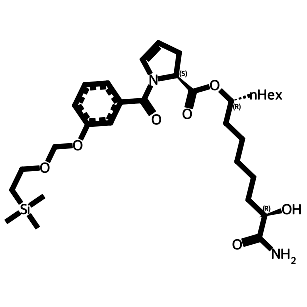 CCCCCC[C@H](CCCCC[C@@H](O)C(N)=O)OC(=O)[C@@H]1CC=CN1C(=O)c1cccc(OCOCC[Si](C)(C)C)c1